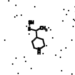 CC(SS)C1CCNCC1